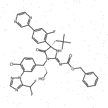 CC(C)(C)C[C@]1(c2ccc(-c3cnccn3)cc2F)NC(=NC(=O)OCc2ccccc2)N([C@H](CO)c2ccc(Cl)c(-n3ncnc3C(F)F)c2)C1=O